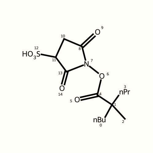 CCCCC(C)(CCC)C(=O)ON1C(=O)CC(S(=O)(=O)O)C1=O